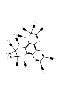 N#CC1=Nc2c(c3c(c4nc(C#N)c(C#N)nc24)N(C#N)C(C#N)(C#N)C(C#N)(C#N)N3C#N)N(C#N)C1(C#N)C#N